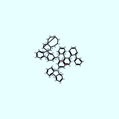 c1ccc(-c2ccccc2-c2ccccc2-c2ccccc2N(c2cccc(-n3c4ccccc4c4ccccc43)c2)c2ccc3c(c2)C2(CC4CCCC5CCC4CC52)c2ccccc2-3)cc1